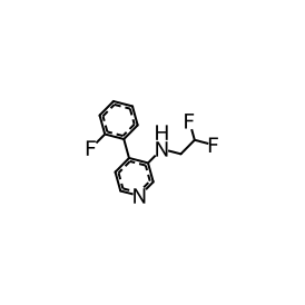 Fc1ccccc1-c1ccncc1NCC(F)F